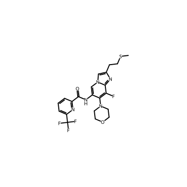 CSCCc1cn2cc(NC(=O)c3cccc(C(F)(F)F)n3)c(N3CCOCC3)c(F)c2n1